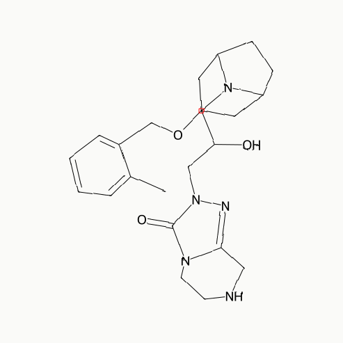 Cc1ccccc1COC1CC2CCC(C1)N2CC(O)Cn1nc2n(c1=O)CCNC2